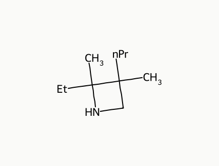 CCCC1(C)CNC1(C)CC